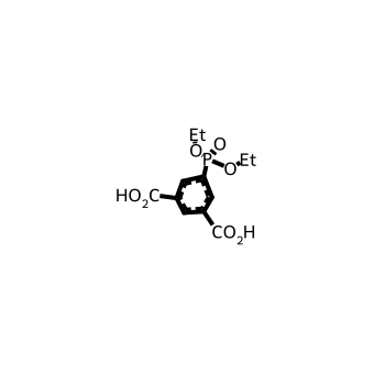 CCOP(=O)(OCC)c1cc(C(=O)O)cc(C(=O)O)c1